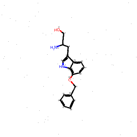 NC(CO)Cc1c[nH]c2c(OCc3ccccc3)cccc12